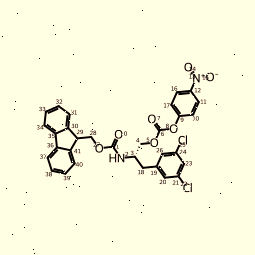 O=C(N[C@H](COC(=O)Oc1ccc([N+](=O)[O-])cc1)Cc1cc(Cl)cc(Cl)c1)OCC1c2ccccc2-c2ccccc21